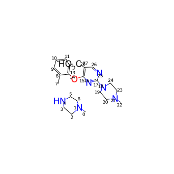 CN1CCNCC1.Cc1ccccc1Oc1nc(N2CCN(C)CC2)ncc1C(=O)O